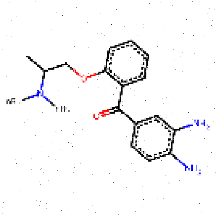 CCCCN(CCCC)C(C)COc1ccccc1C(=O)c1ccc(N)c(N)c1